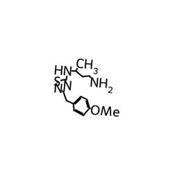 COc1ccc(Cc2nsc(NC(C)CCN)n2)cc1